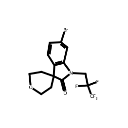 O=C1N(CC(F)(F)C(F)(F)F)c2cc(Br)ccc2C12CCOCC2